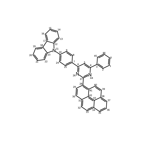 c1ccc(-c2cc(-c3ccc(-n4c5ccccc5c5ccccc54)cc3)nc(-c3ccc4ccc5cccc6ccc3c4c56)n2)cc1